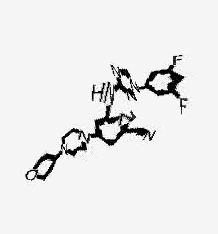 N#Cc1cc(N2CCN(C3COC3)CC2)cc(Nc2ncn(-c3cc(F)cc(F)c3)n2)n1